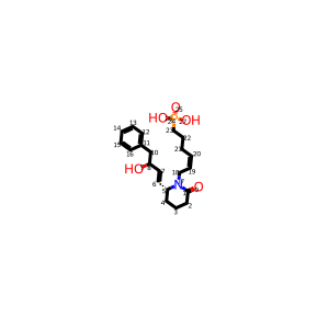 O=C1CCC[C@H](/C=C/C(O)Cc2ccccc2)N1C/C=C\CCCP(=O)(O)O